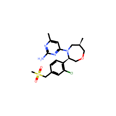 Cc1cc(N2C[C@@H](C)COC[C@H]2c2ccc(CS(C)(=O)=O)cc2Cl)nc(N)n1